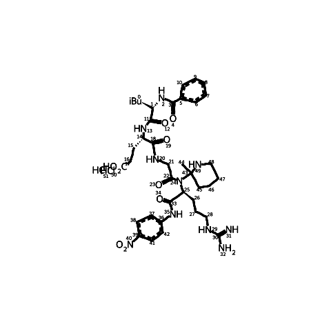 CC[C@H](C)[C@H](NC(=O)c1ccccc1)C(=O)N[C@@H](CCC(=O)O)C(=O)NCC(=O)N([C@@H](CCCNC(=N)N)C(=O)Nc1ccc([N+](=O)[O-])cc1)C1(C)CCCCN1.Cl.Cl